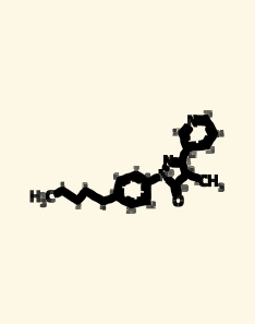 CCCCCc1ccc(N2N=C(c3cccnc3)C(C)C2=O)cc1